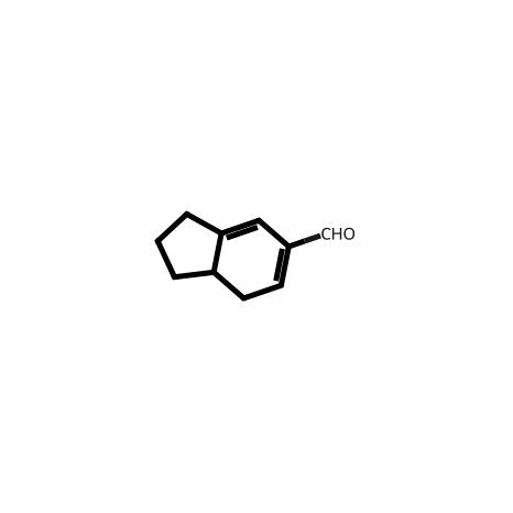 O=CC1=CCC2CCCC2=C1